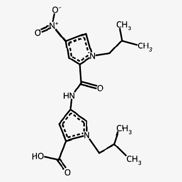 CC(C)Cn1cc(NC(=O)c2cc([N+](=O)[O-])cn2CC(C)C)cc1C(=O)O